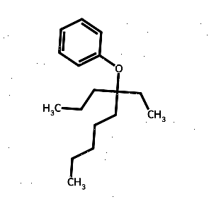 CCCCCC(CC)(CCC)Oc1ccccc1